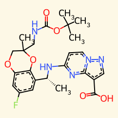 C[C@@H](Nc1ccn2ncc(C(=O)O)c2n1)c1cc(F)cc2c1OC(C)(CNC(=O)OC(C)(C)C)CO2